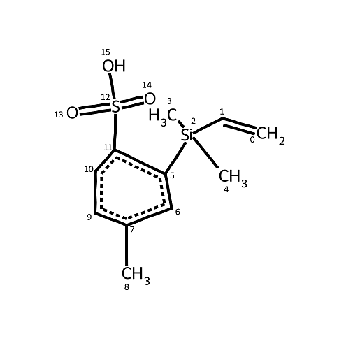 C=C[Si](C)(C)c1cc(C)ccc1S(=O)(=O)O